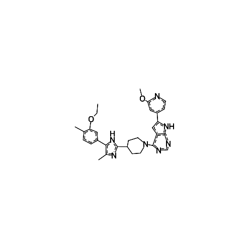 CCOc1cc(-c2[nH]c(C3CCN(c4ncnc5[nH]c(-c6ccnc(OC)c6)cc45)CC3)nc2C)ccc1C